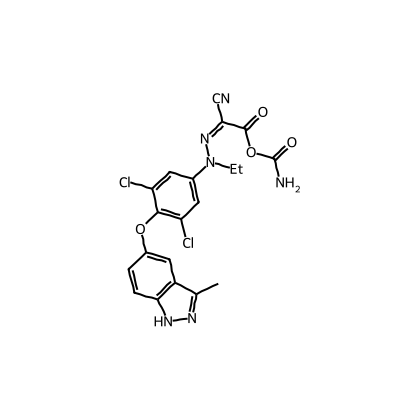 CCN(N=C(C#N)C(=O)OC(N)=O)c1cc(Cl)c(Oc2ccc3[nH]nc(C)c3c2)c(Cl)c1